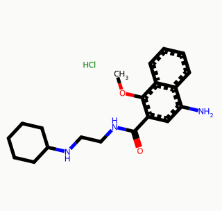 COc1c(C(=O)NCCNC2CCCCC2)cc(N)c2ccccc12.Cl